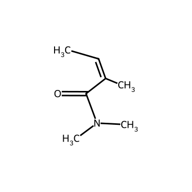 C/C=C(/C)C(=O)N(C)C